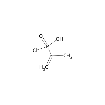 C=C(C)P(=O)(O)Cl